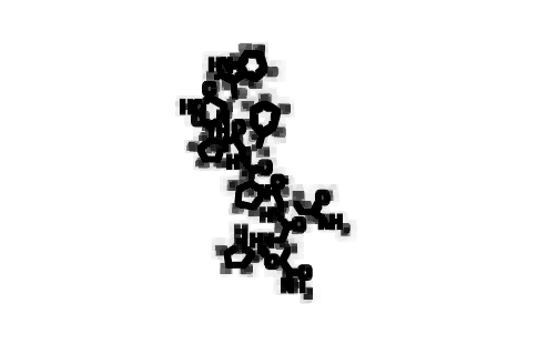 NC(=O)CC[C@H](NC(=O)[C@@H]1CCCN1)C(=O)N[C@@H](CCC(N)=O)C(=O)N1CCC[C@H]1C(=O)N[C@@H](Cc1ccccc1)C(=O)N1CCC[C@H]1C(=O)N[C@@H](Cc1c[nH]c2ccccc12)C(=O)O